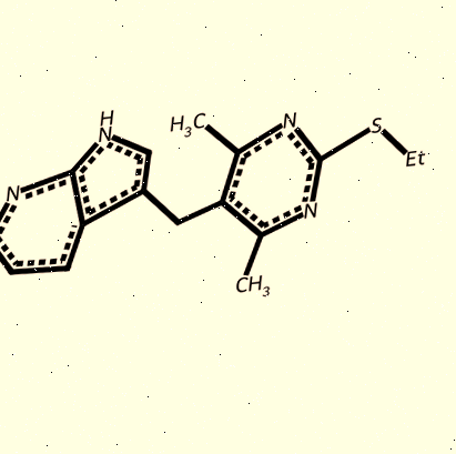 CCSc1nc(C)c(Cc2c[nH]c3ncccc23)c(C)n1